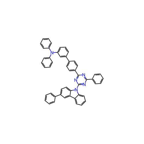 c1ccc(-c2ccc3c(c2)c2ccccc2n3-c2nc(-c3ccccc3)nc(-c3ccc(-c4cccc(N(c5ccccc5)c5ccccc5)c4)cc3)n2)cc1